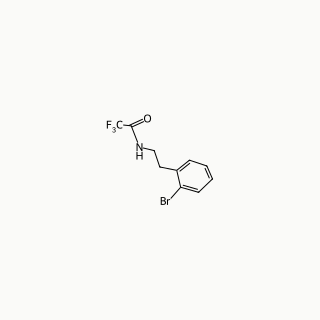 O=C(NCCc1ccccc1Br)C(F)(F)F